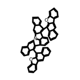 c1ccc2c(-c3c4ccccc4cc4c3c3cccc5c6c(-c7c8ccccc8cc8c7oc7ccccc78)c7ccccc7cc6n4c35)c3oc4ccccc4c3cc2c1